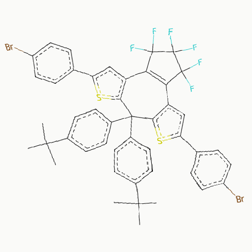 CC(C)(C)c1ccc(C2(c3ccc(C(C)(C)C)cc3)c3sc(-c4ccc(Br)cc4)cc3C3=C(c4cc(-c5ccc(Br)cc5)sc42)C(F)(F)C(F)(F)C3(F)F)cc1